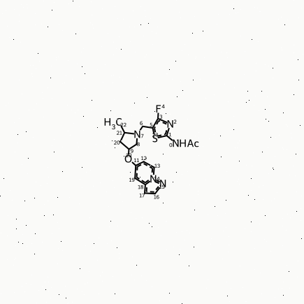 CC(=O)Nc1nc(F)c(CN2CC(Oc3ccn4nccc4c3)CC2C)s1